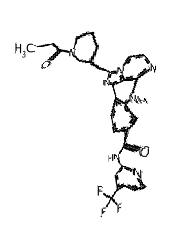 CCC(=O)N1CCCC(c2nc3c4c(nccn24)Nc2cc(C(=O)Nc4cc(C(F)(F)F)ccn4)ccc2-3)C1